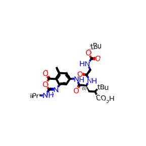 Cc1cc(NC(=O)[C@H](CC(C(=O)O)C(C)(C)C)NC(=O)CNC(=O)OC(C)(C)C)cc2nc(NC(C)C)oc(=O)c12